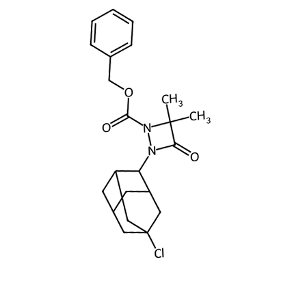 CC1(C)C(=O)N(C2C3CC4CC2CC(Cl)(C4)C3)N1C(=O)OCc1ccccc1